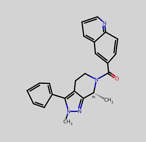 C[C@@H]1c2nn(C)c(-c3ccccc3)c2CCN1C(=O)c1ccc2ncccc2c1